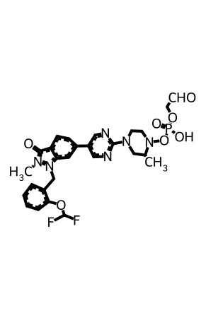 CC1CN(c2ncc(-c3ccc4c(=O)n(C)n(Cc5ccccc5OC(F)F)c4c3)cn2)CCN1OP(=O)(O)OCC=O